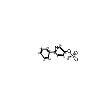 O=S(=O)(F)Oc1ccc(-c2ccccc2)nc1